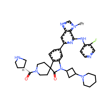 CC(C)n1cnc2cc(-c3ccc4c(c3)N(C3CC(N5CCCCC5)C3)C(=O)C43CCN(C(=O)[C@@H]4CCNC4)CC3)nc(Nc3ccncc3F)c21